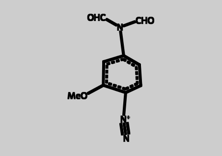 COc1cc(N(C=O)C=O)ccc1[N+]#N